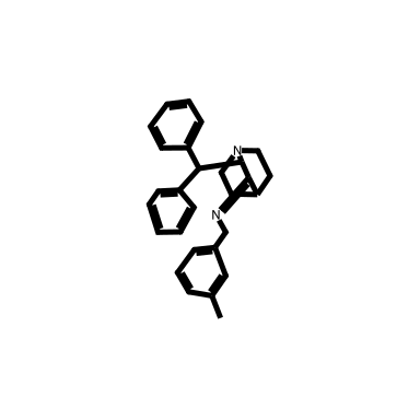 Cc1cccc(C/N=C2\C3CCN(CC3)C2C(c2ccccc2)c2ccccc2)c1